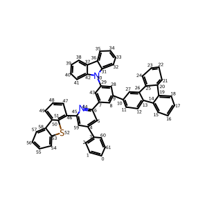 c1ccc(-c2cc(-c3cc(-c4ccc5c6ccccc6c6ccccc6c5c4)cc(-n4c5ccccc5c5ccccc54)c3)nc(-c3cccc4c3sc3ccccc34)c2)cc1